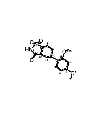 COc1ccc(-c2ccc3c(c2)C(=O)NS3(=O)=O)c(OC)c1